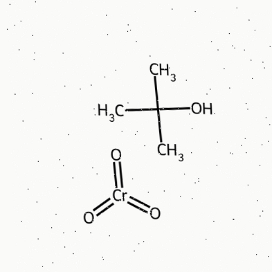 CC(C)(C)O.[O]=[Cr](=[O])=[O]